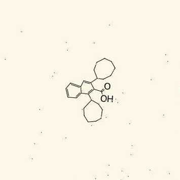 O=C(O)c1c(C2CCCCCCC2)cc2ccccc2c1C1CCCCCCC1